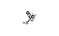 CC(C)(C)[Si](C)(C)OCCN1CCOc2nc(Cl)c(F)c3c2c1cc(=O)n3Cc1ccccc1